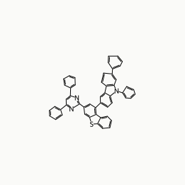 c1ccc(-c2ccc3c4cc(-c5cc(-c6nc(-c7ccccc7)cc(-c7ccccc7)n6)cc6sc7ccccc7c56)ccc4n(-c4ccccc4)c3c2)cc1